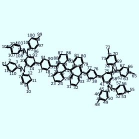 Cc1ccc(N(c2ccc(C)cc2)c2cc(-c3ccc(-c4c5ccccc5c(-c5c6ccccc6c(-c6ccc(-c7cc(N(c8ccc(C)cc8)c8ccc(C)cc8)cc(N(c8ccc(C)cc8)c8ccc(C)cc8)c7)cc6)c6ccccc56)c5ccccc45)cc3)cc(N(c3ccc(C)cc3)c3ccc(C)cc3)c2)cc1